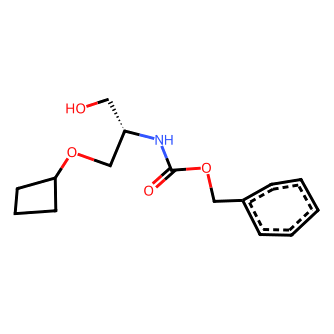 O=C(N[C@@H](CO)COC1CCC1)OCc1ccccc1